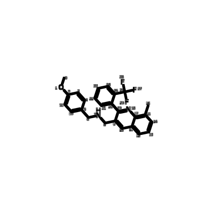 COc1ccc(CNCc2cc3cccc(C)c3nc2-c2ccccc2C(F)(F)F)cc1